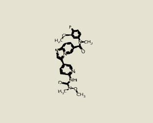 COc1cc(N(C)C(=O)c2ccc3ncc(-c4ccc(NC(=O)N(C)OC)nc4)n3c2)ccc1F